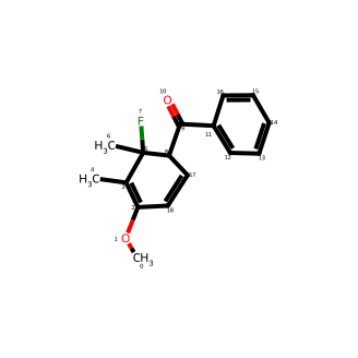 COC1=C(C)C(C)(F)C(C(=O)c2ccccc2)C=C1